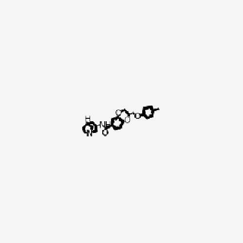 Cc1ccc(OC[C@@H]2COc3cc(C(=O)N[C@@H]4C[C@H]5CCN(C5)C4)ccc3O2)cc1